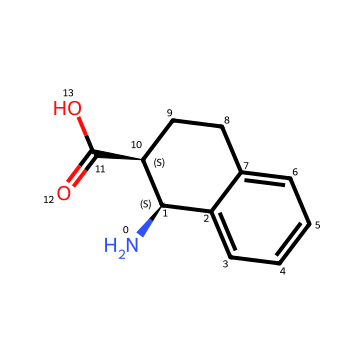 N[C@@H]1c2ccccc2CC[C@@H]1C(=O)O